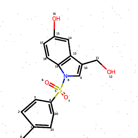 Cc1ccc(S(=O)(=O)n2cc(CO)c3cc(O)ccc32)cc1